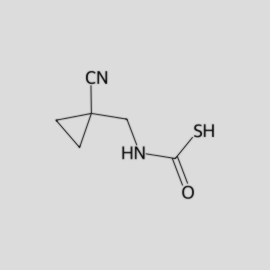 N#CC1(CNC(=O)S)CC1